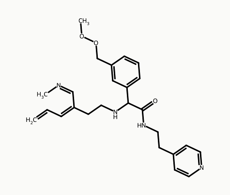 C=C/C=C(\C=N/C)CCNC(C(=O)NCCc1ccncc1)c1cccc(COOC)c1